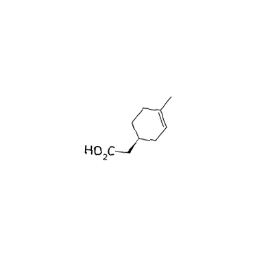 CC1=CC[C@@H](CC(=O)O)CC1